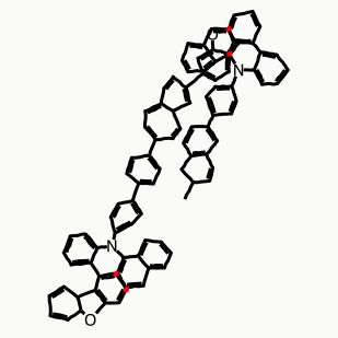 CC1C=Cc2cc(-c3ccc(N(c4ccccc4-c4cccc5oc6cc(C7=CC8C=CC(c9ccc(-c%10ccc(N(c%11ccccc%11-c%11cccc%12c%11C%11C=CC=CC%11O%12)c%11cccc%12ccccc%11%12)cc%10)cc9)=CC=C8C=C7)ccc6c45)c4cccc5ccccc45)cc3)ccc2C1